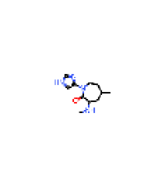 CNC1CC(C)CCN(c2c[nH]cn2)C1=O